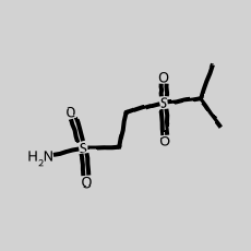 CC(C)S(=O)(=O)CCS(N)(=O)=O